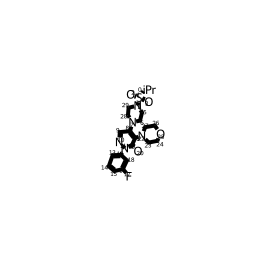 CC(C)S(=O)(=O)N1CCN(c2cnn(-c3cccc(F)c3)c(=O)c2N2CCOCC2)CC1